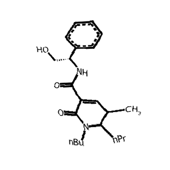 CCCCN1C(=O)C(C(=O)N[C@H](CO)c2ccccc2)=CC(C)C1CCC